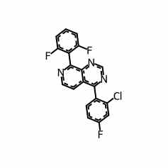 Fc1ccc(-c2ncnc3c(-c4c(F)cccc4F)nccc23)c(Cl)c1